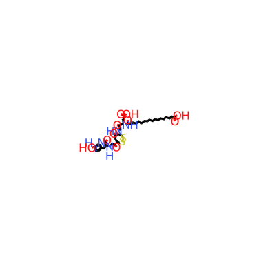 NC(=O)[C@H](Cc1ccc(O)cc1)NCC(=O)[C@@H]1CSSC[C@H](NCC(=O)[C@H](CCC(=O)O)NC(=O)CCCCCCCCCCCCCCCCC(=O)O)C(=O)C1